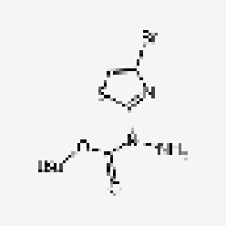 CC(C)(C)OC(=O)N(N)c1nc(Br)cs1